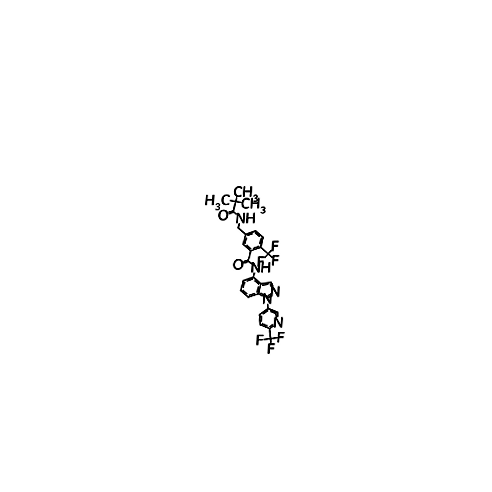 CC(C)(C)C(=O)NCc1ccc(C(F)(F)F)c(C(=O)Nc2cccc3c2cnn3-c2ccc(C(F)(F)F)nc2)c1